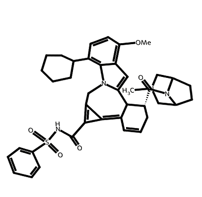 COc1ccc(C2CCCCC2)c2c1cc1n2CC2=C(C(=O)NS(=O)(=O)c3ccccc3)C2=C2C=CC[C@@H](C(=O)N3C4CCC3CN(C)C4)C21